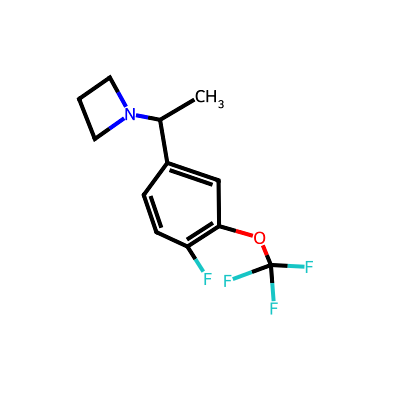 CC(c1ccc(F)c(OC(F)(F)F)c1)N1CCC1